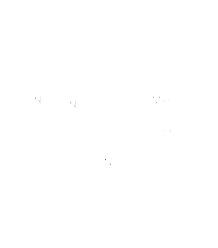 COC(=O)c1sc(Cc2cncn2Cc2ccc(Cl)cc2)nc1-c1cccc2ccccc12